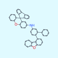 c1ccc(-c2cc(Nc3ccc4c(c3)C3(c5ccccc5O4)c4ccccc4-c4ccccc43)ccc2-c2cccc3oc4ccccc4c23)cc1